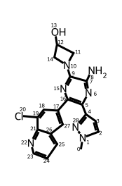 Cn1ccc(-c2nc(N)c(N3CC(O)C3)nc2-c2cc(Cl)c3ncccc3c2)n1